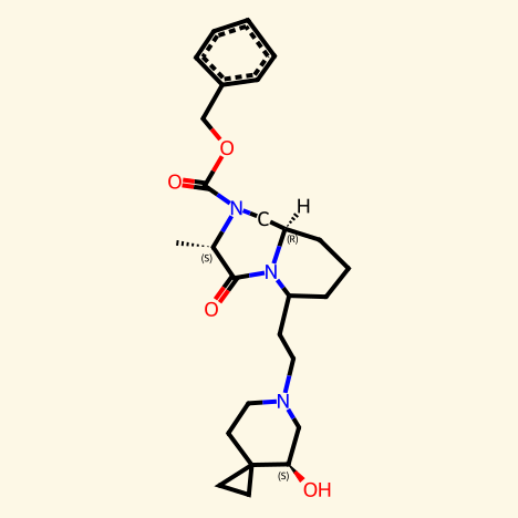 C[C@H]1C(=O)N2C(CCN3CCC4(CC4)[C@H](O)C3)CCC[C@@H]2CN1C(=O)OCc1ccccc1